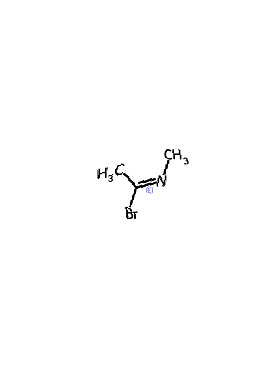 C/N=C(\C)Br